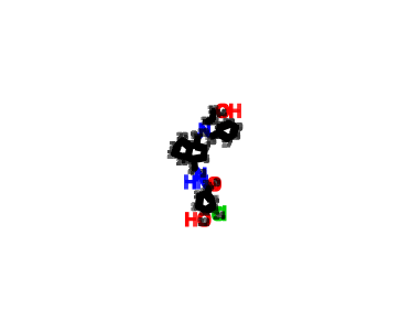 O=C(N/N=C/c1ccc(CN(CCCO)Cc2ccccc2)c2ccccc12)c1ccc(O)c(Cl)c1